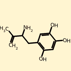 C=C(C)C(N)Cc1cc(O)c(O)cc1O